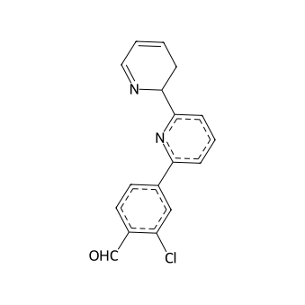 O=Cc1ccc(-c2cccc(C3CC=CC=N3)n2)cc1Cl